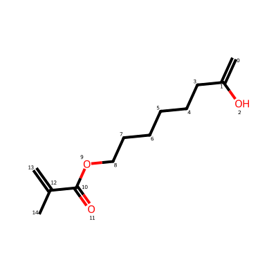 C=C(O)CCCCCCOC(=O)C(=C)C